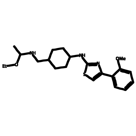 CCOC(C)NCC1CCC(Nc2nc(-c3ccccc3OC)cs2)CC1